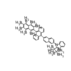 Bc1c(B)c(B)c2c(B)c(-c3c4ccccc4c(-c4ccc5cc(-n6c(C(B)(O)C(B)(B)B)nc7ccccc76)ccc5c4)c4ccccc34)c(B)c(B)c2c1B